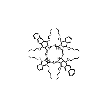 CCCCOc1c2c(c(OCCCC)c3cc4ccccc4cc13)-c1nc-2nc2[nH]c(nc3nc(nc4c5c(OCCCC)c6ccccc6c(OCCCC)c5c(n1)n4C)-c1c-3c(OCCCC)c3cc4ccccc4cc3c1OCCCC)c1c(OCCCC)c3ccccc3c(OCCCC)c21